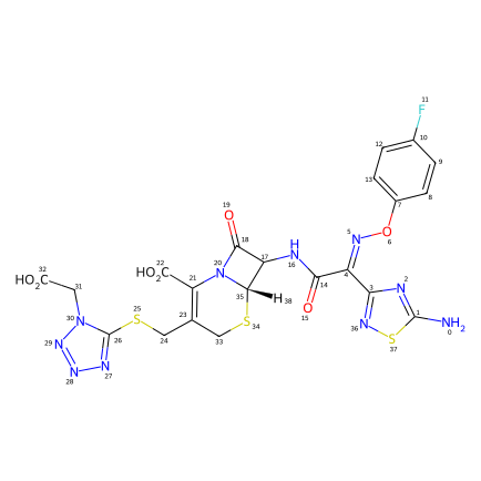 Nc1nc(C(=NOc2ccc(F)cc2)C(=O)NC2C(=O)N3C(C(=O)O)=C(CSc4nnnn4CC(=O)O)CS[C@@H]23)ns1